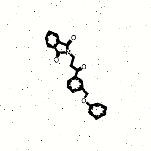 O=C(CCN1C(=O)c2ccccc2C1=O)c1cccc(COc2ccccc2)c1